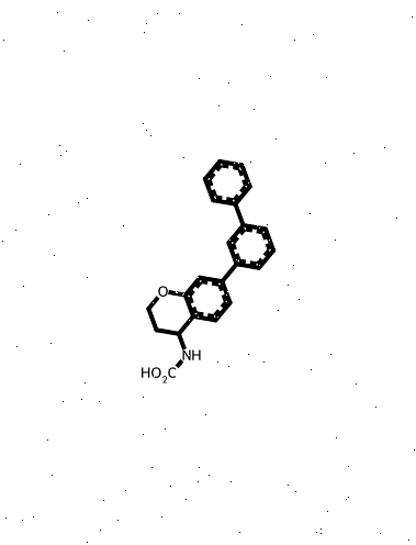 O=C(O)NC1CCOc2cc(-c3cccc(-c4ccccc4)c3)ccc21